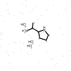 CC(N)C1CCCN1.Cl.Cl.Cl